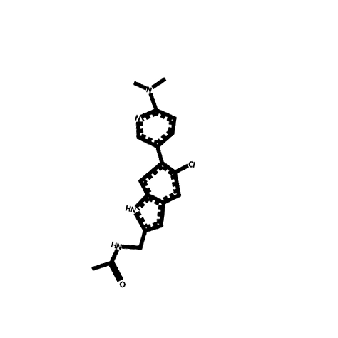 CC(=O)NCc1cc2cc(Cl)c(-c3ccc(N(C)C)nc3)cc2[nH]1